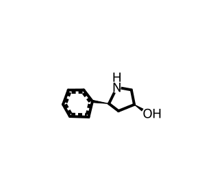 O[C@@H]1CN[C@H](c2ccccc2)C1